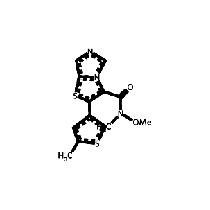 CON(C)C(=O)c1c(-c2csc(C)c2)sc2cncn12